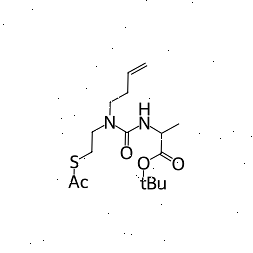 C=CCCN(CCSC(C)=O)C(=O)NC(C)C(=O)OC(C)(C)C